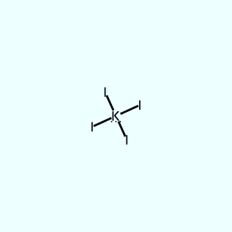 [I][K]([I])([I])[I]